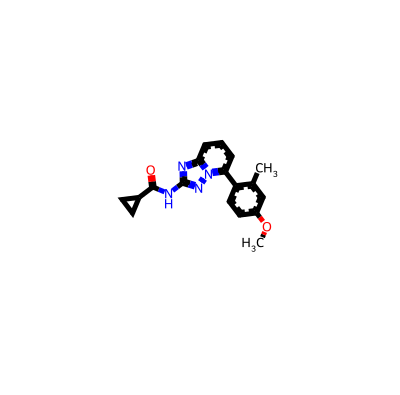 COc1ccc(-c2cccc3nc(NC(=O)C4CC4)nn23)c(C)c1